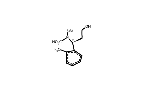 CC(C)(C)N(C(=O)O)[C@@H](CCO)c1ccccc1C(F)(F)F